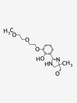 COCCOCCOc1cccc(C2=NC(C)(C=O)CN2)c1O